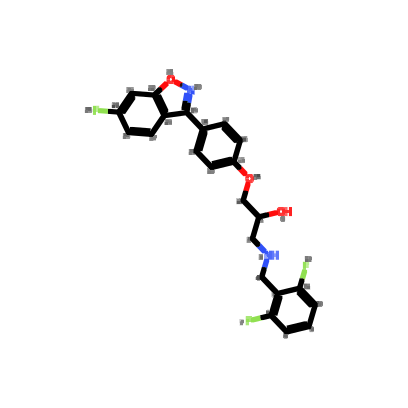 OC(CNCc1c(F)cccc1F)COc1ccc(-c2noc3cc(F)ccc23)cc1